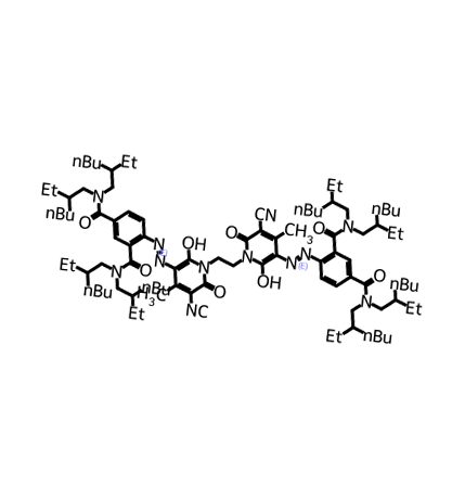 [C-]#[N+]c1c(C)c(/N=N/c2ccc(C(=O)N(CC(CC)CCCC)CC(CC)CCCC)cc2C(=O)N(CC(CC)CCCC)CC(CC)CCCC)c(O)n(CCn2c(O)c(/N=N/c3ccc(C(=O)N(CC(CC)CCCC)CC(CC)CCCC)cc3C(=O)N(CC(CC)CCCC)CC(CC)CCCC)c(C)c(C#N)c2=O)c1=O